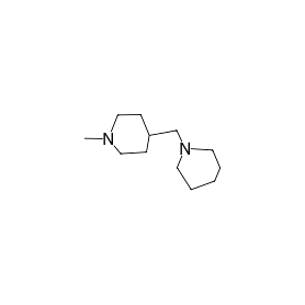 CN1CCC(CN2CCCCC2)CC1